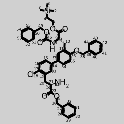 C[Si](C)(C)CCOC(=O)[C@H](Cc1cc(-c2ccc(Cl)c(C[C@H](N)C(=O)OCc3ccccc3)c2)ccc1OCc1ccccc1)NC(=O)OCc1ccccc1